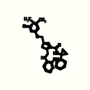 Cc1cc(OCC23CN(C(=O)NC4(c5ccccc5)CC4)C(CNc4cccnc4O)(C2)C3)cc(=O)n1C